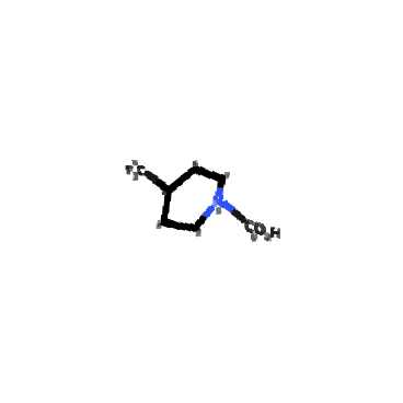 O=C(O)N1CCC(C(F)(F)F)CC1